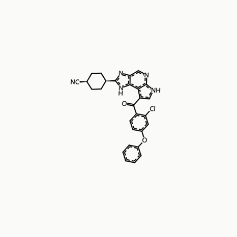 N#C[C@H]1CC[C@@H](c2nc3cnc4[nH]cc(C(=O)c5ccc(Oc6ccccc6)cc5Cl)c4c3[nH]2)CC1